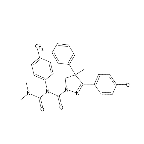 CN(C)C(=O)N(C(=O)N1CC(C)(c2ccccc2)C(c2ccc(Cl)cc2)=N1)c1ccc(C(F)(F)F)cc1